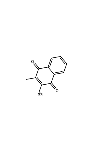 CC1=C(C(C)(C)C)C(=O)c2ccccc2C1=O